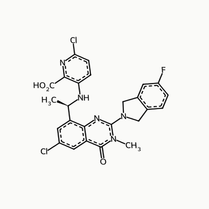 C[C@@H](Nc1ccc(Cl)nc1C(=O)O)c1cc(Cl)cc2c(=O)n(C)c(N3Cc4ccc(F)cc4C3)nc12